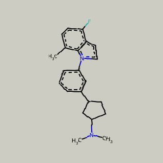 Cc1ccc(F)c2ccn(-c3cccc(C4CCC(N(C)C)C4)c3)c12